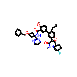 CCCc1cc2oc(-c3ccc(F)cc3)c(C(=O)NC)c2cc1-c1ccc(OC)c(C(=O)NC2(c3ncccn3)CC(OCc3ccccc3)C2)c1